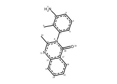 Cc1c(N)cccc1-n1c(C)nc2ccccc2c1=O